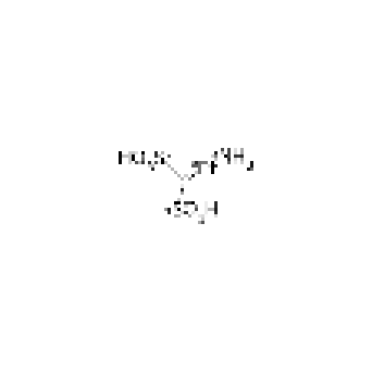 CCC(S(=O)(=O)O)S(=O)(=O)O.N